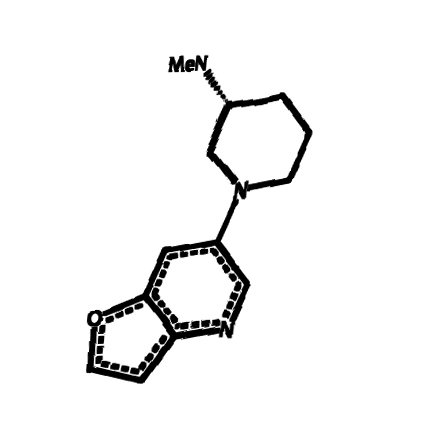 CN[C@@H]1CCCN(c2cnc3ccoc3c2)C1